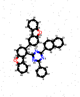 c1ccc(-c2nc(-c3ccc4ccccc4c3)nc(-c3c(-c4ccc5oc6ccccc6c5c4)ccc4oc5ccccc5c34)n2)cc1